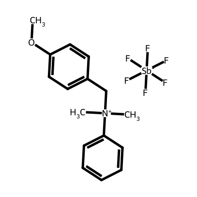 COc1ccc(C[N+](C)(C)c2ccccc2)cc1.[F][Sb-]([F])([F])([F])([F])[F]